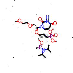 COCCOC[C@@H](O[C@H](/C=C/P(=O)(OC)OC)COP(C)N(C(C)C)C(C)C)n1ccc(=O)[nH]c1=O